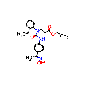 C=Cc1ccccc1N(CCC(=O)OCC)C(=O)Nc1ccc(C(C)=NO)cc1